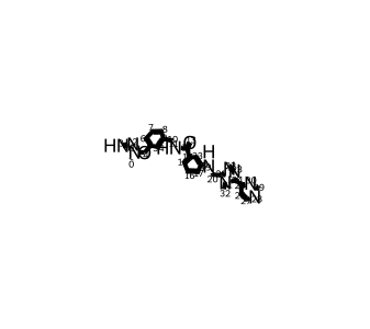 CN(N=N)Oc1cccc(CNC(=O)c2cccc(NCc3nnc(-c4ccncn4)n3C)c2)c1